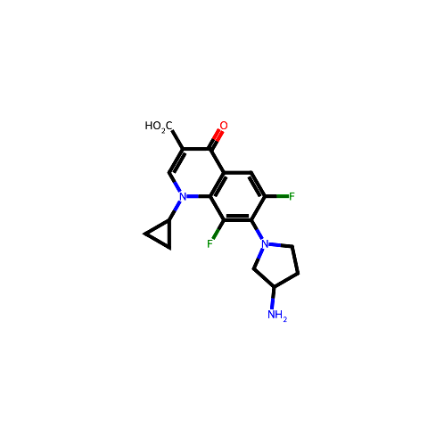 NC1CCN(c2c(F)cc3c(=O)c(C(=O)O)cn(C4CC4)c3c2F)C1